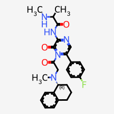 CNC(C)C(=O)Nc1ncc(-c2ccc(F)cc2)n(C(=O)CN(C)[C@@H]2CCCc3ccccc32)c1=O